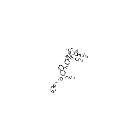 COc1cc2c(Oc3ccc(NS(=O)(=O)c4c(C)nn(C)c4C)cc3F)ccnc2cc1OCCCN1CCOCC1